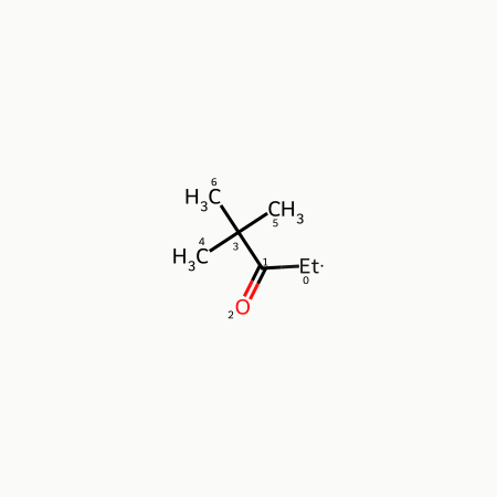 C[CH]C(=O)C(C)(C)C